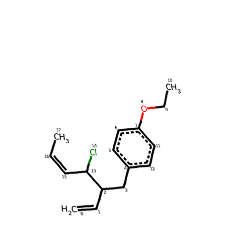 C=CC(Cc1ccc(OCC)cc1)C(Cl)/C=C\C